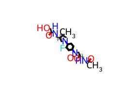 CC(=O)NC[C@H]1CN(c2ccc(N3C[C@@H](CNC(=O)CO)[C@@H](C)C3)c(F)c2)C(=O)O1